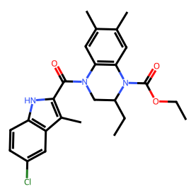 CCOC(=O)N1c2cc(C)c(C)cc2N(C(=O)c2[nH]c3ccc(Cl)cc3c2C)CC1CC